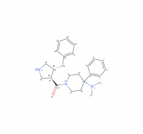 CN(C)C1(c2ccccc2)CCN(C(=O)[C@H]2CNC[C@@H]2Cc2ccccc2)CC1